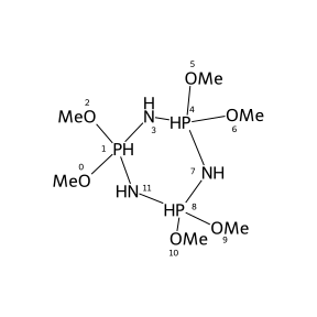 CO[PH]1(OC)N[PH](OC)(OC)N[PH](OC)(OC)N1